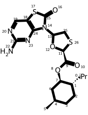 CC(C)[C@@H]1CC[C@@H](C)C[C@H]1OC(=O)[C@H]1OC(n2c(=O)sc3cnc(N)nc32)CS1